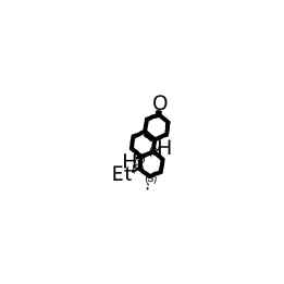 CC[C@H]1[C@@H]2CCC3=C(CCC(=O)C3)[C@H]2CC[C@@H]1C